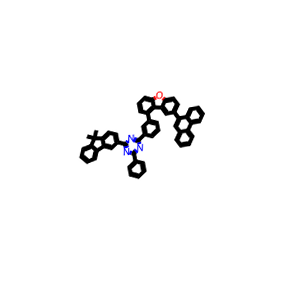 CC1(C)c2ccccc2-c2cc(-c3nc(-c4ccccc4)nc(-c4cccc(-c5cccc6oc7ccc(-c8cc9ccccc9c9ccccc89)cc7c56)c4)n3)ccc21